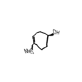 CSC1=CCC(O)CC1